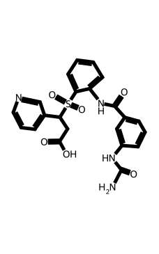 NC(=O)Nc1cccc(C(=O)Nc2ccccc2S(=O)(=O)C(CC(=O)O)c2cccnc2)c1